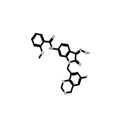 COc1ccccc1C(=O)Nc1ccc2c(c1)N(Cc1cc(F)cc3c1OCOC3)C(=O)/C2=N\O